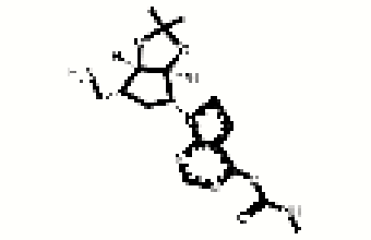 CNC(=O)Oc1ncnc2c1ccn2[C@@H]1C[C@H](CN)[C@H]2OC(C)(C)O[C@H]21